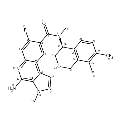 CN(C(=O)c1cc2c(cc1F)nc(N)c1c2cnn1C)[C@@H]1COCc2c1ccc(C(F)(F)F)c2F